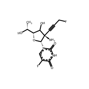 C[C@@H](O)[C@H]1O[C@@H](n2cc(F)c(=O)[nH]c2=O)[C@@](N)(C#CCF)C1O